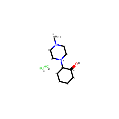 CCCCCCN1CCN(C2CCCCC2=O)CC1.Cl.Cl